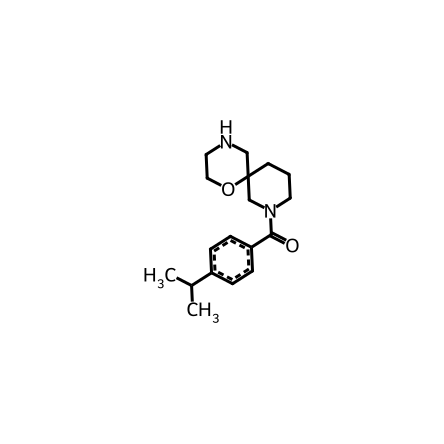 CC(C)c1ccc(C(=O)N2CCCC3(CNCCO3)C2)cc1